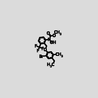 CCc1cc(Br)c(OCc2c(N(O)C(=O)OC)cccc2C(F)(F)F)cc1C